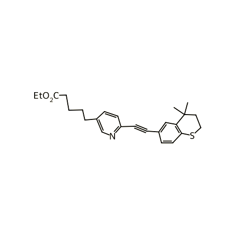 CCOC(=O)CCCCc1ccc(C#Cc2ccc3c(c2)C(C)(C)CCS3)nc1